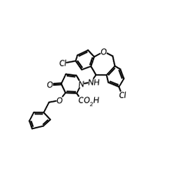 O=C(O)c1c(OCc2ccccc2)c(=O)ccn1NC1c2cc(Cl)ccc2COc2ccc(Cl)cc21